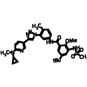 COc1c(NS(C)(=O)=O)cc(C(C)(C)C)cc1C(=O)Nc1ccc(C)c(-n2cc(-c3ccc(N(C)C4CC4)nc3)nn2)c1